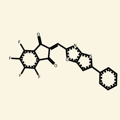 O=C1C(=Cc2nc3sc(-c4ccccc4)cc3o2)C(=O)c2c(F)c(F)c(F)c(F)c21